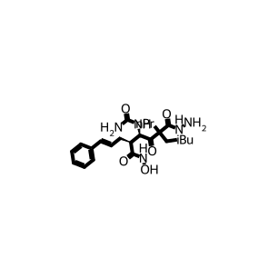 CCCC(CC(C)CC)(C(=O)NN)C(=O)[C@H](NC(N)=O)[C@H](C/C=C/c1ccccc1)C(=O)NO